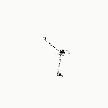 CCCCCCCCCCCCCCCCCCCCC(=O)C(C)(COS(C)(=O)=O)C(=O)CCCCCCCCCCCCCCCCCCCC